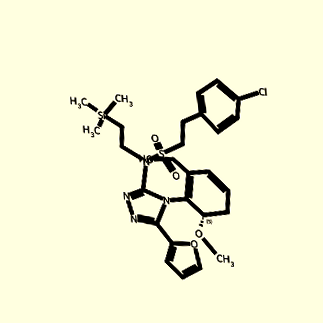 CO[C@H]1CC=CC(CO)=C1n1c(-c2ccco2)nnc1N(CC[Si](C)(C)C)S(=O)(=O)CCc1ccc(Cl)cc1